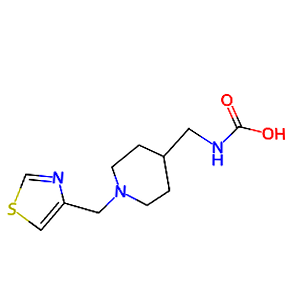 O=C(O)NCC1CCN(Cc2cscn2)CC1